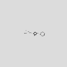 C#CCN(C)CCCOc1ccc(COC2CCC=CCCC2)cc1Cl